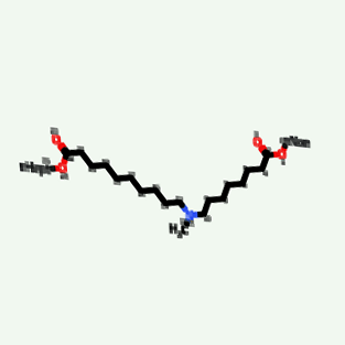 CCCCCCCCCOC(=O)CCCCCCCN(C)CCCCCCCCCC(=O)OCCCCCCC